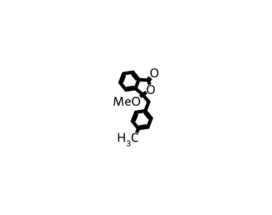 COC1(Cc2ccc(C)cc2)OC(=O)c2ccccc21